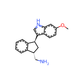 COc1ccc2c([C@H]3C[C@H](CN)c4ccccc43)c[nH]c2c1